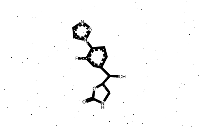 O=C1NCC(C(O)c2ccc(-n3ccnn3)c(F)c2)O1